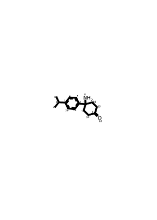 CC(C)c1ccc(C2(N)CCC(=O)CC2)cc1